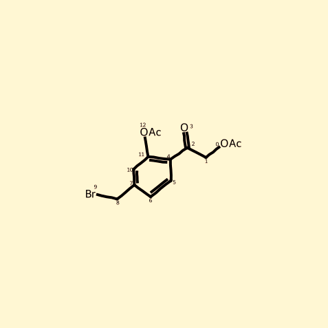 CC(=O)OCC(=O)c1ccc(CBr)cc1OC(C)=O